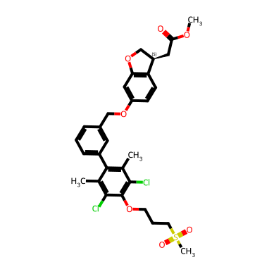 COC(=O)C[C@@H]1COc2cc(OCc3cccc(-c4c(C)c(Cl)c(OCCCS(C)(=O)=O)c(Cl)c4C)c3)ccc21